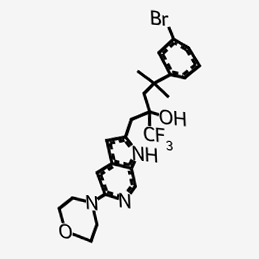 CC(C)(CC(O)(Cc1cc2cc(N3CCOCC3)ncc2[nH]1)C(F)(F)F)c1cccc(Br)c1